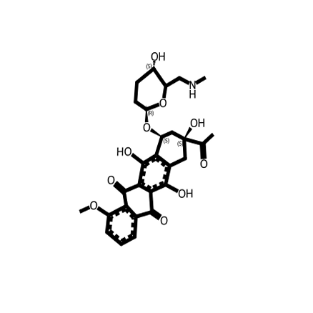 CNCC1O[C@@H](O[C@H]2C[C@](O)(C(C)=O)Cc3c(O)c4c(c(O)c32)C(=O)c2c(OC)cccc2C4=O)CC[C@@H]1O